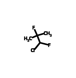 CC(C)(F)C(F)Cl